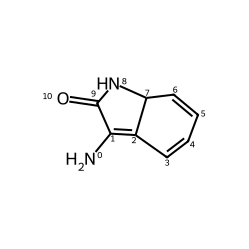 NC1=C2C=CC=CC2NC1=O